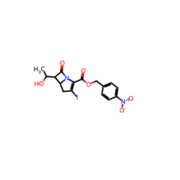 CC(O)C1C(=O)N2C(C(=O)OCc3ccc([N+](=O)[O-])cc3)=C(I)CC12